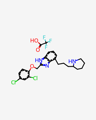 Clc1ccc(OCc2nc3c(CCCC4CCCCN4)cccc3[nH]2)c(Cl)c1.O=C(O)C(F)(F)F